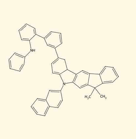 CC1(C)c2ccccc2-c2cc3c(cc21)N(c1ccc2ccccc2c1)C1=CC=C(c2cccc(-c4ccccc4Nc4ccccc4)c2)CC13